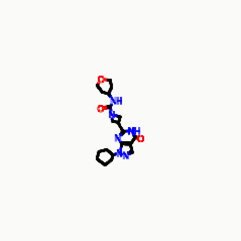 O=C(NC1CCOCC1)N1CC(c2nc3c(cnn3C3CCCCC3)c(=O)[nH]2)C1